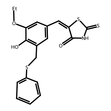 CCOc1cc(C=C2SC(=S)NC2=O)cc(CSc2ccccc2)c1O